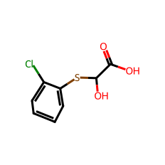 O=C(O)C(O)Sc1ccccc1Cl